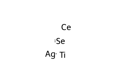 [Ag].[Ce].[Se].[Ti]